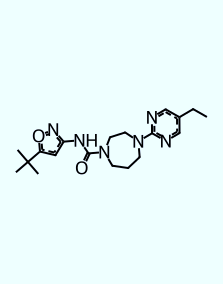 CCc1cnc(N2CCCN(C(=O)Nc3cc(C(C)(C)C)on3)CC2)nc1